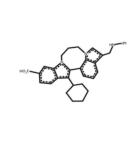 CCCNCc1cn2c3c(cccc13)-c1c(C3CCCCC3)c3ccc(C(=O)O)cc3n1CCC2